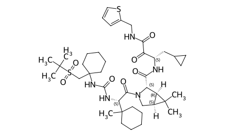 CC1([C@H](NC(=O)NC2(CS(=O)(=O)C(C)(C)C)CCCCC2)C(=O)N2C[C@H]3[C@@H]([C@H]2C(=O)N[C@@H](CC2CC2)C(=O)C(=O)NCc2cccs2)C3(C)C)CCCCC1